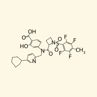 Cc1c(F)c(F)c(S(=O)(=O)N2CCC2C(=O)N(Cc2ccc(C3CCCCC3)cn2)c2ccc(C(=O)O)c(O)c2)c(F)c1F